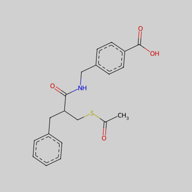 CC(=O)SCC(Cc1ccccc1)C(=O)NCc1ccc(C(=O)O)cc1